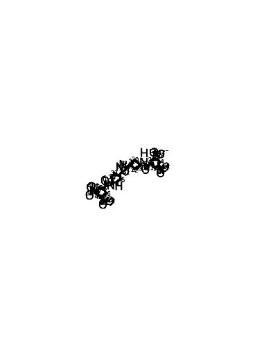 O=C(Nc1ccc(-c2nnc(-c3ccc(NC(=O)c4cc([N+](=O)[O-])cc([N+](=O)[O-])c4)cc3)o2)cc1)c1cc([N+](=O)[O-])cc([N+](=O)[O-])c1